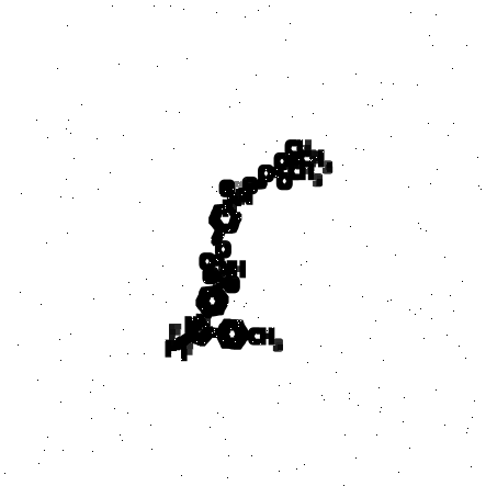 Cc1ccc(-c2cc(C(F)(F)F)nn2-c2ccc(S(=O)(=O)NC(=O)OCC3CCN([N+]([O-])=NOCOC(=O)OC(C)(C)C)CC3)cc2)cc1